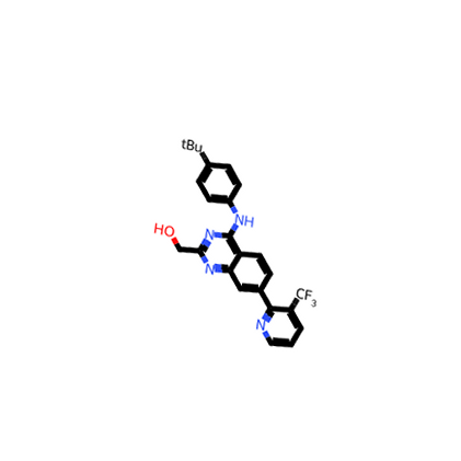 CC(C)(C)c1ccc(Nc2nc(CO)nc3cc(-c4ncccc4C(F)(F)F)ccc23)cc1